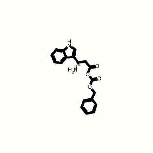 N[C@@H](CC(=O)OC(=O)OCc1ccccc1)c1c[nH]c2ccccc12